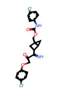 N=C(C(=O)COc1ccc(Cl)cc1)C1CC2(COC(=O)Nc3ccc(Cl)cc3)CC12